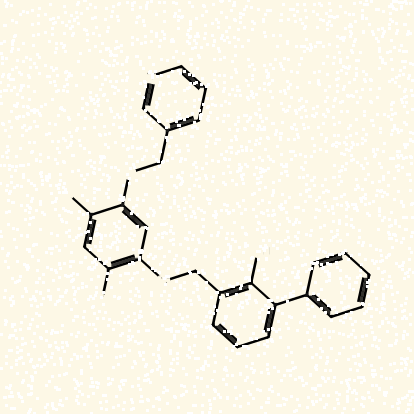 Cc1cc(C=O)c(OCc2cccnc2)cc1NCc1cccc(-c2ccccc2)c1C